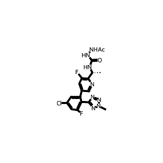 CC(=O)NNC(=O)N[C@H](C)c1ncc(-c2cc(Cl)cc(F)c2-c2nnn(C)n2)cc1F